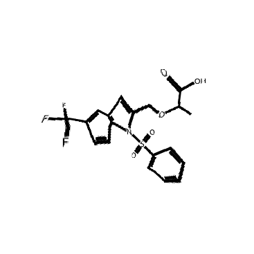 CC(OCc1cc2cc(C(F)(F)F)ccc2n1S(=O)(=O)c1ccccc1)C(=O)O